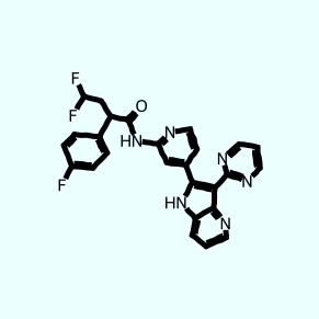 O=C(Nc1cc(-c2[nH]c3cccnc3c2-c2ncccn2)ccn1)C(CC(F)F)c1ccc(F)cc1